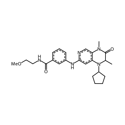 COCCNC(=O)c1cccc(Nc2cc3c(cn2)N(C)C(=O)C(C)N3C2CCCC2)c1